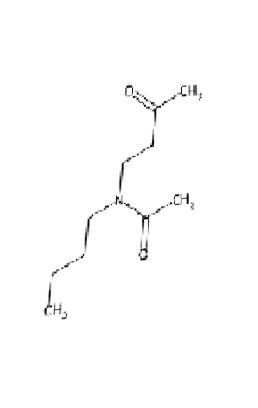 CCCCN(CCC(C)=O)C(C)=O